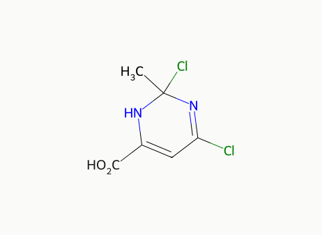 CC1(Cl)N=C(Cl)C=C(C(=O)O)N1